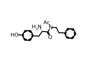 CC(=O)N(CCc1ccccc1)C(=O)[C@@H](N)Cc1ccc(O)cc1